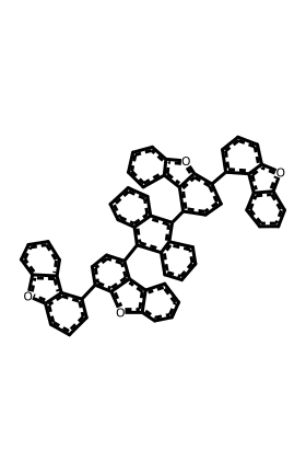 c1ccc2c(c1)oc1cccc(-c3ccc(-c4c5ccccc5c(-c5ccc(-c6cccc7oc8ccccc8c67)c6oc7ccccc7c56)c5ccccc45)c4c3oc3ccccc34)c12